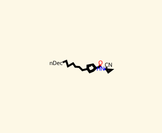 CCCCCCCCCCCCCCCCc1ccc(C(=O)NC2(C#N)CC2)cc1